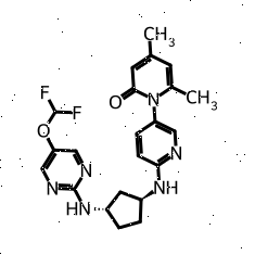 Cc1cc(C)n(-c2ccc(N[C@H]3CC[C@H](Nc4ncc(OC(F)F)cn4)C3)nc2)c(=O)c1